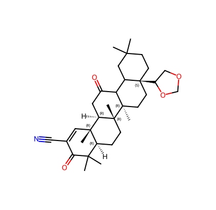 CC1(C)CC[C@]2(C3COCO3)CC[C@]3(C)C(C(=O)C[C@@H]4[C@@]5(C)C=C(C#N)C(=O)C(C)(C)[C@@H]5CC[C@]43C)C2C1